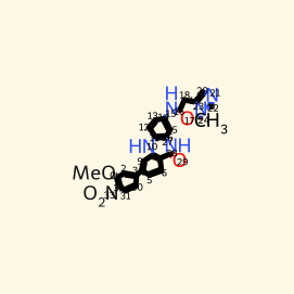 COc1cc(-c2ccc3c(c2)Nc2ccc(NC(=O)Cc4cncn4C)cc2NC3=O)ccc1[N+](=O)[O-]